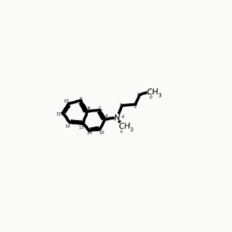 CCCCN(C)c1[c]c2ccccc2cc1